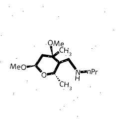 CCCNCC1[C@H](C)O[C@@H](OC)C[C@@]1(C)OC